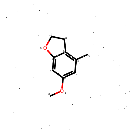 COc1cc(C)c2c(c1)OCC2